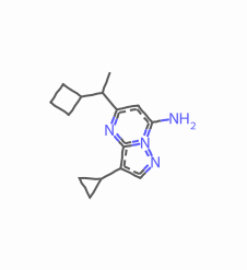 CC(c1cc(N)n2ncc(C3CC3)c2n1)C1CCC1